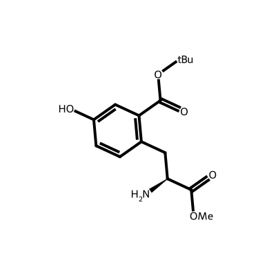 COC(=O)[C@@H](N)Cc1ccc(O)cc1C(=O)OC(C)(C)C